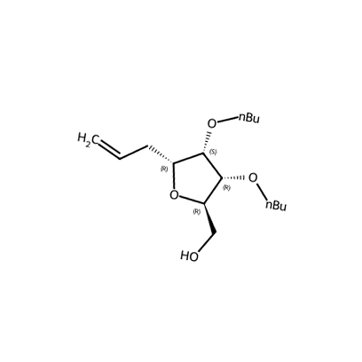 C=CC[C@H]1O[C@H](CO)[C@@H](OCCCC)[C@H]1OCCCC